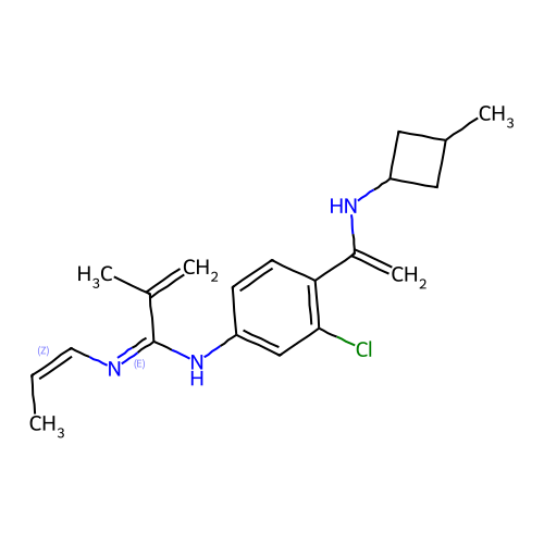 C=C(C)/C(=N\C=C/C)Nc1ccc(C(=C)NC2CC(C)C2)c(Cl)c1